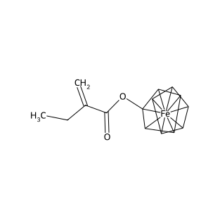 C=C(CC)C(=O)O[C]12[CH]3[CH]4[CH]5[CH]1[Fe]45321678[CH]2[CH]1[CH]6[CH]7[CH]28